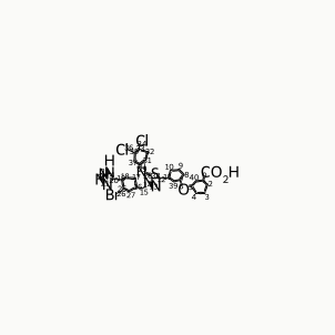 O=C(O)c1cccc(Oc2cccc(-c3nn(Cc4ccc(-c5nnn[nH]5)c(Br)c4)c(=Nc4ccc(Cl)c(Cl)c4)s3)c2)c1